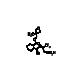 CC1(COC(=O)C2CCCCC2C(=O)OC(CS(=O)(=O)O)C(F)(F)F)COC1